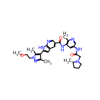 COCCn1nc(C)c(-c2cc3cc(C(=O)Nc4cc(NC(=O)CN5CCC[C@@H]5C)cnc4C)cnc3[nH]2)c1C